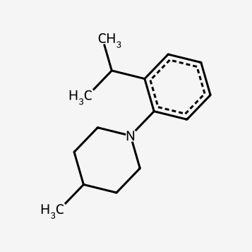 CC1CCN(c2ccccc2C(C)C)CC1